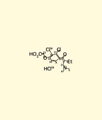 CCC(CN(C)C)C(=O)c1ccc(OCC(=O)O)c(Cl)c1Cl.Cl